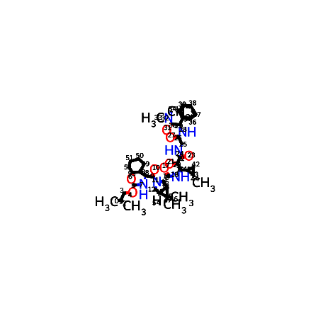 CC(C)COC(=O)N[C@H](C(=O)N1C[C@H]2C([C@H]1C(=O)NC(C(=O)C(=O)NCC(=O)N[C@H](C(=O)N(C)C)c1ccccc1)C1CC1C)C2(C)C)C1CCCCC1